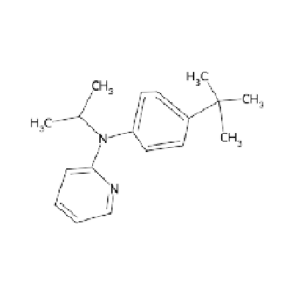 CC(C)N(c1ccc(C(C)(C)C)cc1)c1ccccn1